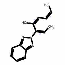 C\C=C/C=C(O)\C(=C/C)n1nc2ccccc2n1